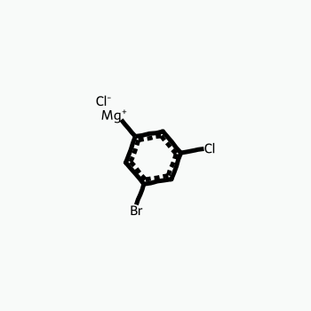 [Cl-].[Mg+][c]1cc(Cl)cc(Br)c1